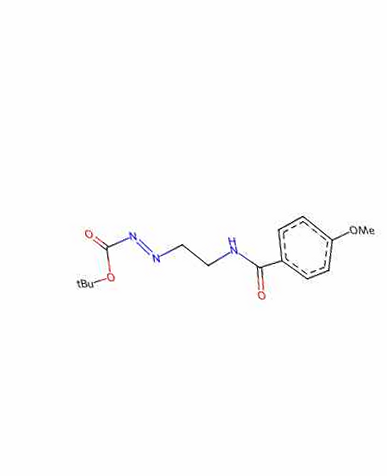 COc1ccc(C(=O)NCCN=NC(=O)OC(C)(C)C)cc1